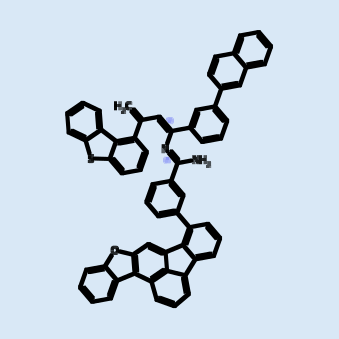 C=C(/C=C(\N=C(/N)c1cccc(-c2cccc3c2-c2cc4oc5ccccc5c4c4cccc-3c24)c1)c1cccc(-c2ccc3ccccc3c2)c1)c1cccc2sc3ccccc3c12